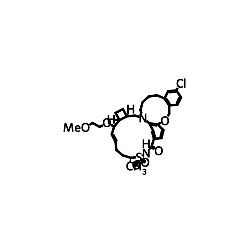 COCCOC1/C=C/CC[C@@H](C)S(=O)(=O)NC(=O)c2ccc3c(c2)N(CCCCc2cc(Cl)ccc2CO3)C[C@@H]2CC[C@@H]12